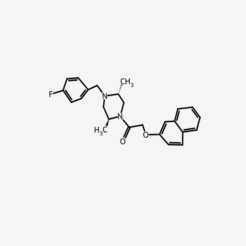 C[C@@H]1CN(C(=O)COc2ccc3ccccc3c2)[C@@H](C)CN1Cc1ccc(F)cc1